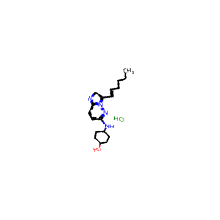 CCCC/C=C/c1cnc2ccc(NC3CCC(O)CC3)nn12.Cl